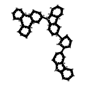 c1cc(-c2ccc3oc4ccccc4c3c2)nc(-c2ccc3c(c2)c2ccccc2n3-c2ccc3c4ccccc4c4ccccc4c3c2)c1